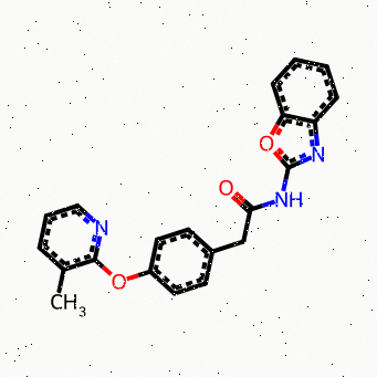 Cc1cccnc1Oc1ccc(CC(=O)Nc2nc3ccccc3o2)cc1